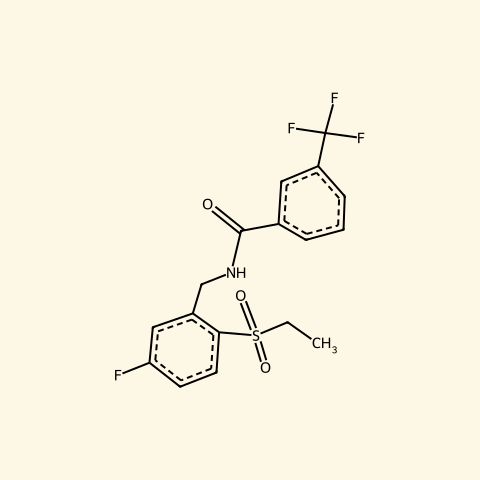 CCS(=O)(=O)c1ccc(F)cc1CNC(=O)c1cccc(C(F)(F)F)c1